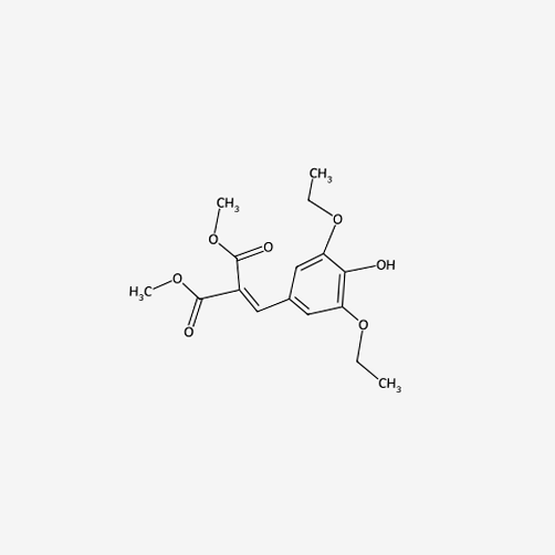 CCOc1cc(C=C(C(=O)OC)C(=O)OC)cc(OCC)c1O